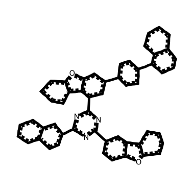 c1ccc2cc(-c3nc(-c4ccc5oc6ccccc6c5c4)nc(-c4cc(-c5ccc(-c6cccc7ccccc67)cc5)cc5oc6ccccc6c45)n3)ccc2c1